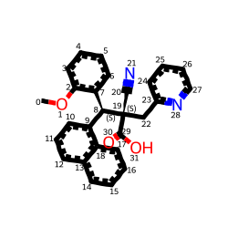 COc1ccccc1[C@H](c1cccc2ccccc12)[C@](C#N)(Cc1ccccn1)C(=O)O